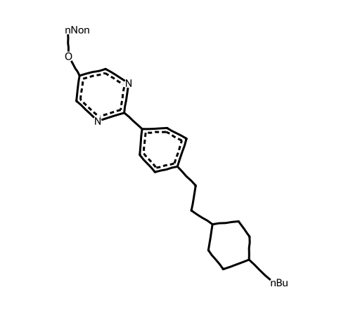 CCCCCCCCCOc1cnc(-c2ccc(CCC3CCC(CCCC)CC3)cc2)nc1